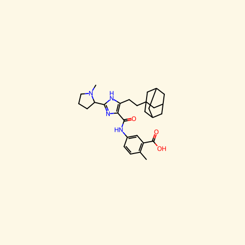 Cc1ccc(NC(=O)c2nc(C3CCCN3C)[nH]c2CCC23CC4CC(CC(C4)C2)C3)cc1C(=O)O